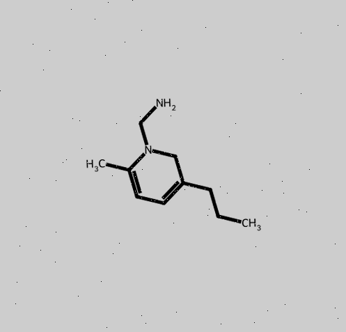 CCCC1=CC=C(C)N(CN)C1